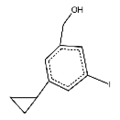 OCc1cc(I)cc(C2CC2)c1